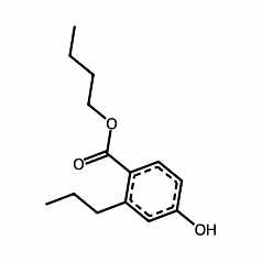 CCCCOC(=O)c1ccc(O)cc1CCC